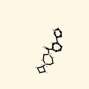 O=C(c1cccc(-c2cccnc2)c1)N1CCCN(C2CCC2)CC1